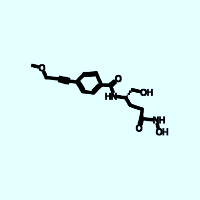 COCC#Cc1ccc(C(=O)N[C@H](CO)CCC(=O)NO)cc1